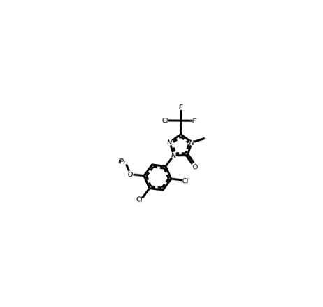 CC(C)Oc1cc(-n2nc(C(F)(F)Cl)n(C)c2=O)c(Cl)cc1Cl